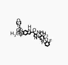 Cc1cc(Oc2c(F)cccc2F)ncc1-n1ncc(C(=O)c2cc3cc(F)c(N(CCN4CCOCC4)S(C)(=O)=O)cc3[nH]2)c1N